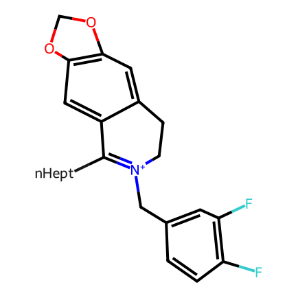 CCCCCCCC1=[N+](Cc2ccc(F)c(F)c2)CCc2cc3c(cc21)OCO3